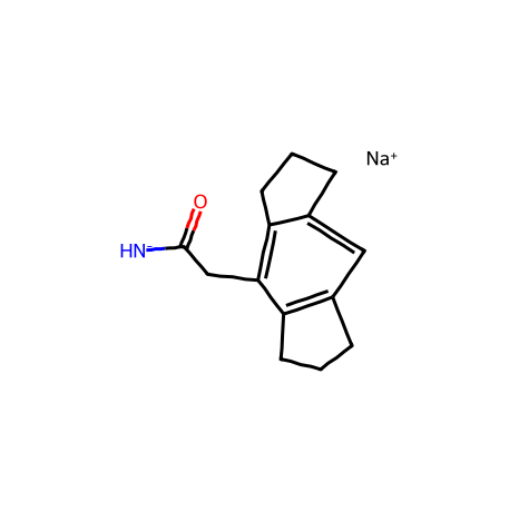 [NH-]C(=O)Cc1c2c(cc3c1CCC3)CCC2.[Na+]